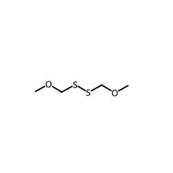 COCSSCOC